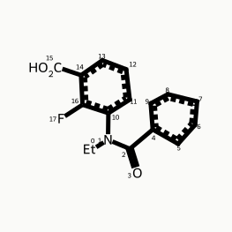 CCN(C(=O)c1ccccc1)c1cccc(C(=O)O)c1F